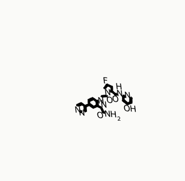 NC(=O)c1nn(CC(=O)N2CC(F)CC2C(=O)Nc2cc(O)ccn2)c2ccc(-c3ccnnc3)cc12